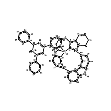 CC1CC=Cc2c3c(n4c2S12c1cc(ccc1-c1c(C5=NC(c6ccccc6)NC(c6ccccc6)=N5)cccc12)-c1cccc2sc5ccc-4cc5c12)CCC=C3